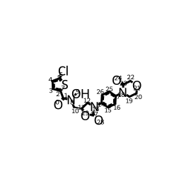 O=C(c1ccc(Cl)s1)N(O)C[C@H]1CN(c2ccc(N3CCOCC3=O)cc2)C(=O)O1